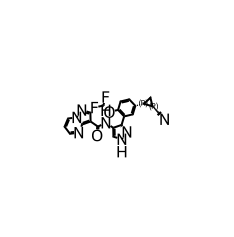 N#C[C@@H]1C[C@H]1c1ccc(OC(F)F)c(-c2n[nH]cc2NC(=O)c2cnn3cccnc23)c1